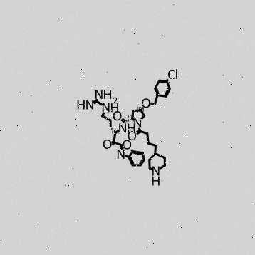 N=C(N)NCCC[C@H](NC(=O)[C@@H]1C[C@@H](OCc2ccc(Cl)cc2)CN1C(=O)CCCC1CCNCC1)C(=O)c1nc2ccccc2o1